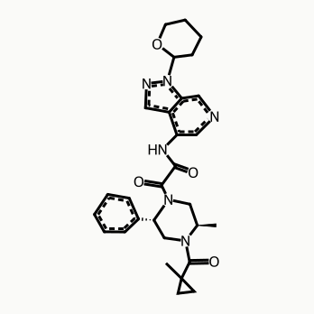 C[C@@H]1CN(C(=O)C(=O)Nc2cncc3c2cnn3C2CCCCO2)[C@@H](c2ccccc2)CN1C(=O)C1(C)CC1